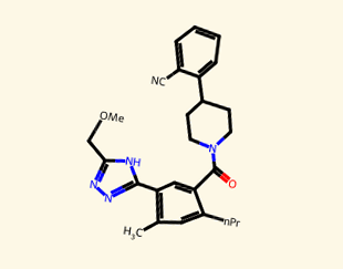 CCCc1cc(C)c(-c2nnc(COC)[nH]2)cc1C(=O)N1CCC(c2ccccc2C#N)CC1